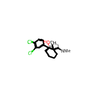 CNCC1(C)CCCC[C@@]1(O)c1ccc(Cl)c(Cl)c1